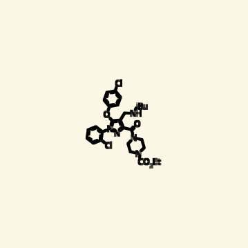 CCOC(=O)N1CCN(C(=O)c2nn(-c3ccccc3Cl)c(Oc3ccc(Cl)cc3)c2CNC(C)CC)CC1